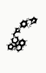 Cn1cccc1Sc1ccc(N2CC(CN3CCC(C4(C5CCCC5)NCCc5ccccc54)CC3)C2)cc1